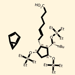 CCCC[C@@H](O[Si](CC)(CC)CC)[C@H]1[C@@H](CC=CCCCC(=O)O)[C@@H](O[Si](CC)(CC)CC)C[C@H]1O[Si](CC)(CC)CC.c1cc2cc-2c1